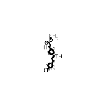 CCOC(=O)CNc1ccc(C(O)CCc2ccc(Cl)cc2)cc1